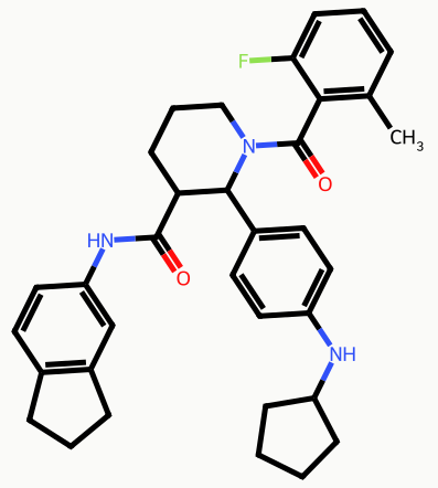 Cc1cccc(F)c1C(=O)N1CCCC(C(=O)Nc2ccc3c(c2)CCC3)C1c1ccc(NC2CCCC2)cc1